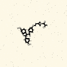 CC(Cl)C(=O)N1CC(CCOc2ccc(C(=O)c3c(-c4ccc(O)cc4)sc4cc(O)ccc34)cc2)C1